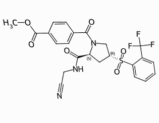 COC(=O)c1ccc(C(=O)N2C[C@H](S(=O)(=O)c3ccccc3C(F)(F)F)C[C@H]2C(=O)NCC#N)cc1